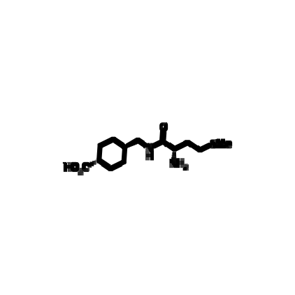 CSCC[C@H](N)C(=O)NC[C@H]1CC[C@H](C(=O)O)CC1